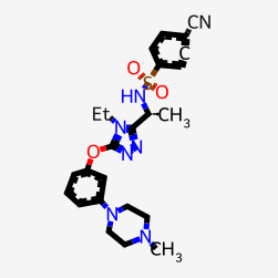 CCn1c(Oc2cccc(N3CCN(C)CC3)c2)nnc1[C@@H](C)NS(=O)(=O)c1ccc(C#N)cc1